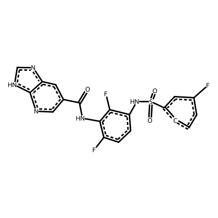 O=C(Nc1c(F)ccc(NS(=O)(=O)c2cccc(F)c2)c1F)c1cnc2[nH]cnc2c1